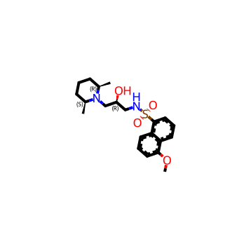 COc1cccc2c(S(=O)(=O)NC[C@H](O)CN3[C@H](C)CCC[C@@H]3C)cccc12